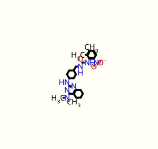 Cc1ccc([N+](=O)[O-])c(NC(=O)NCC2CCC(Nc3nc4c(c(N(C)C)n3)CCCC4)CC2)c1C